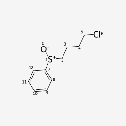 [O-][S+](CCCCCl)c1ccccc1